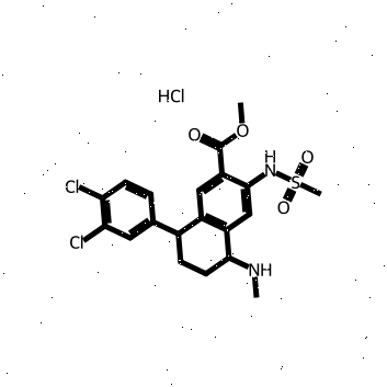 CNC1CCC(c2ccc(Cl)c(Cl)c2)c2cc(C(=O)OC)c(NS(C)(=O)=O)cc21.Cl